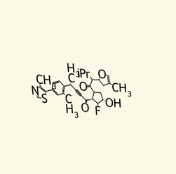 CC1=COC(C(C(=O)C2C[C@H](O)C(F)[C@H]2C(=O)C#C[C@@H](C)c2ccc(-c3scnc3C)cc2C)C(C)C)C1